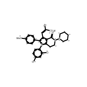 CC/C(=C/c1c2c(n(-c3ccc(Cl)cc3Cl)c1-c1ccc(OC)cc1)CCN(N1CCCCC1)C2=O)C(=O)O